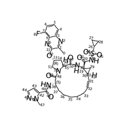 Cc1nc2cccc(F)c2nc1O[C@@H]1C[C@H]2C(=O)N[C@]3(C(=O)NS(=O)(=O)C4CC4)C[C@H]3C=CCCCCC[C@H](NC(=O)c3ccnn3C)C(=O)N2C1